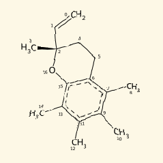 C=C[C@]1(C)CCc2c(C)c(C)c(C)c(C)c2O1